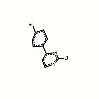 CC(=O)c1ccc(-c2ccnc(Cl)n2)cc1